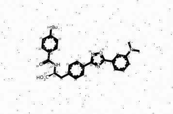 CN(C)c1cccc(-c2nc(-c3ccc(C[C@H](NC(=O)c4ccc(C(C)(C)C)cc4)C(=O)O)cc3)no2)c1